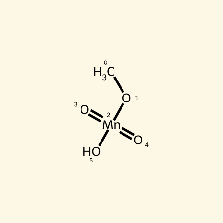 C[O][Mn](=[O])(=[O])[OH]